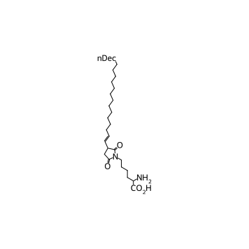 CCCCCCCCCCCCCCCCCCCCCCC=CC1CC(=O)N(CCCCC(N)C(=O)O)C1=O